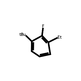 [CH2]Cc1cccc(C(C)(C)C)c1F